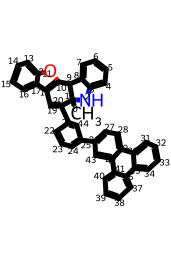 CC12Nc3ccccc3C1c1oc3ccccc3c1C=C2c1cccc(-c2ccc3c4ccccc4c4ccccc4c3c2)c1